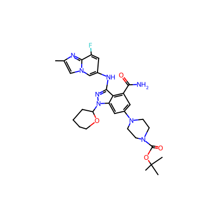 Cc1cn2cc(Nc3nn(C4CCCCO4)c4cc(N5CCN(C(=O)OC(C)(C)C)CC5)cc(C(N)=O)c34)cc(F)c2n1